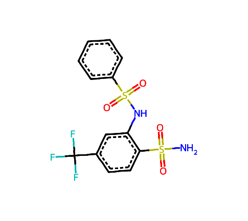 NS(=O)(=O)c1ccc(C(F)(F)F)cc1NS(=O)(=O)c1ccccc1